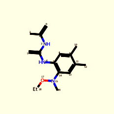 C=C(C)NC(=C)Nc1cc(C)c(C)cc1N(C)OCC